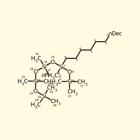 CCCCCCCCCCCCCCCC[Si](C)(O[Si](C)(C)C)O[Si](C)(CCC)O[Si](C)(C)O[Si](C)(C)C